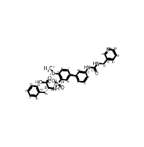 COc1ccc(-c2cccc(NC(=O)NCc3cccnc3)c2)cc1S(=O)(=O)N[C@H](Cc1ccccc1)C(=O)O